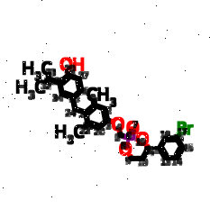 Cc1cc(OCP2(=O)OCC[C@@H](c3cccc(Br)c3)O2)cc(C)c1Cc1ccc(O)c(C(C)C)c1